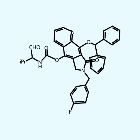 CC(C)C(C=O)NC(=O)Oc1c2c(c(OC(c3ccccc3)c3ccccc3)c3ncccc13)C(=O)N(Cc1ccc(F)cc1)C2